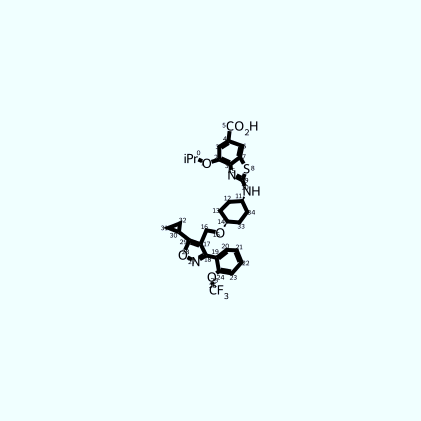 CC(C)Oc1cc(C(=O)O)cc2sc(N[C@H]3CC[C@@H](OCc4c(-c5ccccc5OC(F)(F)F)noc4C4CC4)CC3)nc12